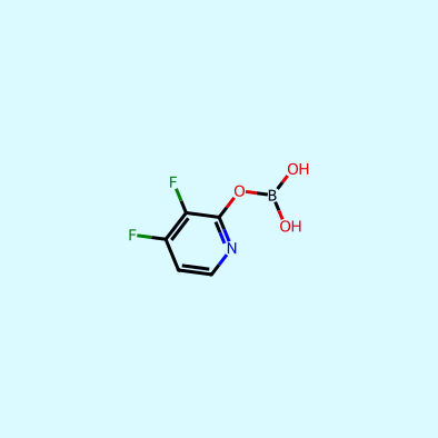 OB(O)Oc1nccc(F)c1F